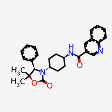 CC1(C)OC(=O)N([C@H]2CC[C@H](NC(=O)c3cnc4ccccc4c3)CC2)[C@@H]1c1ccccc1